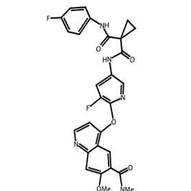 CNC(=O)c1cc2c(Oc3ncc(NC(=O)C4(C(=O)Nc5ccc(F)cc5)CC4)cc3F)ccnc2cc1OC